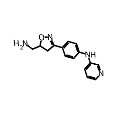 NCC1CC(c2ccc(Nc3cccnc3)cc2)=NO1